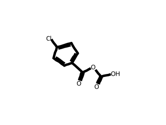 O=C(O)OC(=O)c1ccc(Cl)cc1